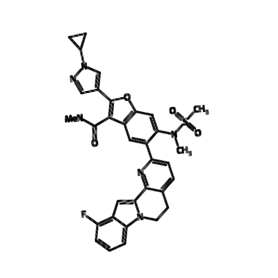 CNC(=O)c1c(-c2cnn(C3CC3)c2)oc2cc(N(C)S(C)(=O)=O)c(-c3ccc4c(n3)-c3cc5c(F)cccc5n3CC4)cc12